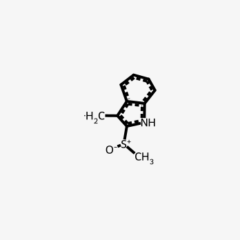 [CH2]c1c([S+](C)[O-])[nH]c2ccccc12